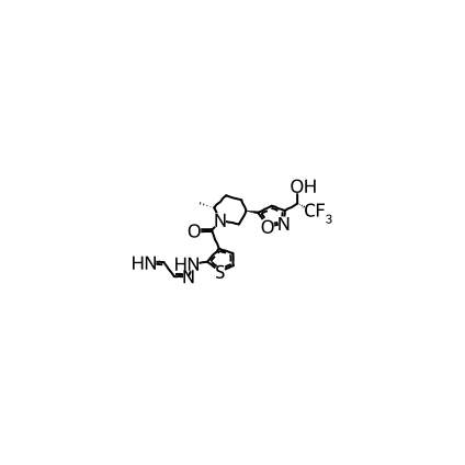 C[C@@H]1CC[C@@H](c2cc([C@H](O)C(F)(F)F)no2)CN1C(=O)c1ccsc1N/N=C\C=N